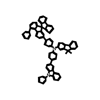 CC1(C)c2ccccc2-c2ccc(N(c3ccc(-c4ccc5c(c4)C4(c6ccccc6-c6ccccc64)c4cccc(-c6ccccc6)c4-5)cc3)c3ccc(-c4ccc5c(c4)c4ccccc4n5-c4ccccc4)cc3)cc21